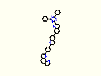 c1ccc(-c2nc(-c3ccccc3)nc(-c3ccc4ccc(-c5ccc6nc(-c7ccc(-c8ccc9ccc%10cccnc%10c9n8)cc7)ccc6c5)cc4n3)n2)cc1